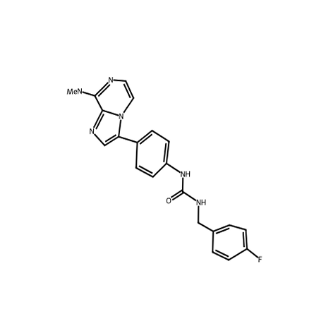 CNc1nccn2c(-c3ccc(NC(=O)NCc4ccc(F)cc4)cc3)cnc12